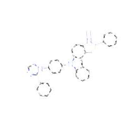 c1ccc(-c2nccn2-c2ccc(-n3c4ccccc4c4c5c(ccc43)NC(c3ccccc3)O5)cc2)cc1